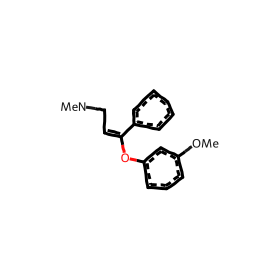 CNCC=C(Oc1cccc(OC)c1)c1ccccc1